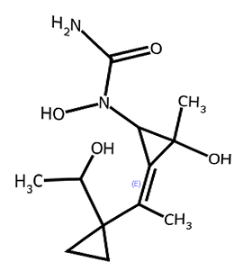 C/C(=C1/C(N(O)C(N)=O)C1(C)O)C1(C(C)O)CC1